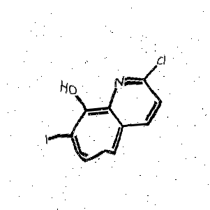 Oc1c(I)ccc2ccc(Cl)nc12